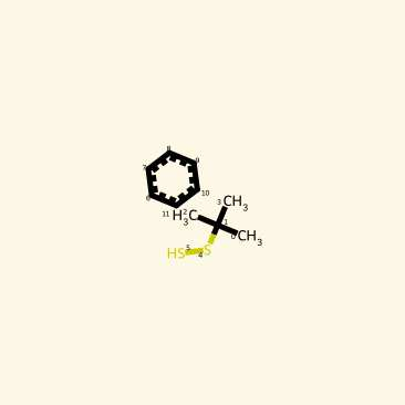 CC(C)(C)SS.c1ccccc1